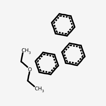 CCOCC.c1ccccc1.c1ccccc1.c1ccccc1